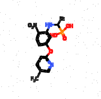 CCC(Nc1cc(Oc2ccc(C(F)(F)F)cn2)ccc1[N+](=O)[O-])P(=O)(O)O